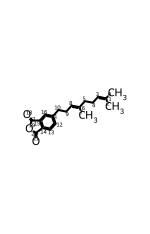 CC(C)=CCC/C(C)=C/CCc1ccc2c(c1)C(=O)OC2=O